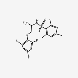 Cc1cc(C)c(S(=O)(=O)NC(COc2c(F)cc(F)cc2F)C(F)(F)F)c(C)c1